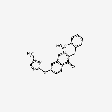 Cn1ccc(Sc2ccc3c(=O)n(Cc4ccccc4C(=O)O)ncc3c2)n1